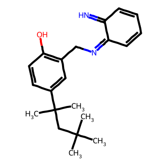 CC(C)(C)CC(C)(C)c1ccc(O)c(C/N=C2/C=CC=CC2=N)c1